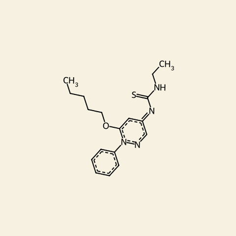 CCCCCOc1c/c(=N\C(=S)NCC)cnn1-c1ccccc1